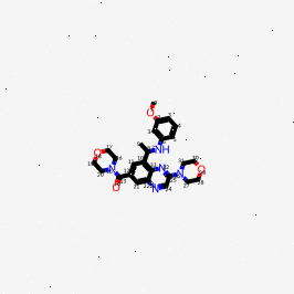 COc1cccc(NC(C)c2cc(C(=O)N3CCOCC3)cc3ncc(N4CCOCC4)nc23)c1